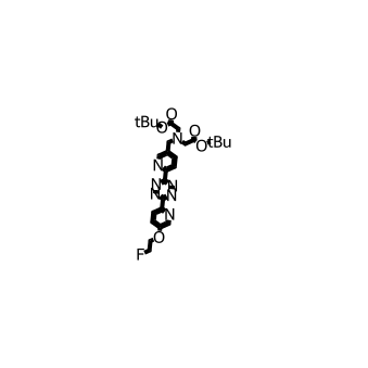 CC(C)(C)OC(=O)CN(CC(=O)OC(C)(C)C)Cc1ccc(-c2nnc(-c3ccc(OCCF)cn3)nn2)nc1